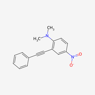 CN(C)c1ccc([N+](=O)[O-])cc1C#Cc1ccccc1